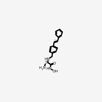 NC[C@H](NCc1ccc(/C=C/c2ccccc2)cc1)C(=O)NO